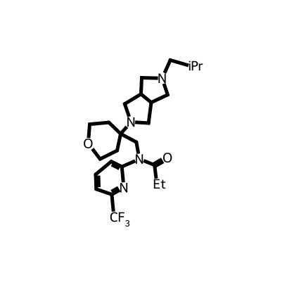 CCC(=O)N(CC1(N2CC3CN(CC(C)C)CC3C2)CCOCC1)c1cccc(C(F)(F)F)n1